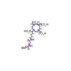 CC(C)(C)OC(=O)NOCC(=O)NCCCCC(C(=O)O)N1CCN(CC(=O)O)CCN(CC(=O)O)CCN(CC(=O)O)CC1